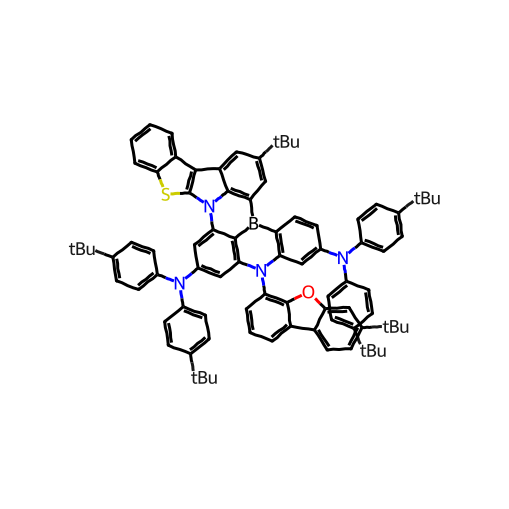 CC(C)(C)c1ccc(N(c2ccc(C(C)(C)C)cc2)c2ccc3c(c2)N(c2cccc4c2oc2cc(C(C)(C)C)ccc24)c2cc(N(c4ccc(C(C)(C)C)cc4)c4ccc(C(C)(C)C)cc4)cc4c2B3c2cc(C(C)(C)C)cc3c5c6ccccc6sc5n-4c23)cc1